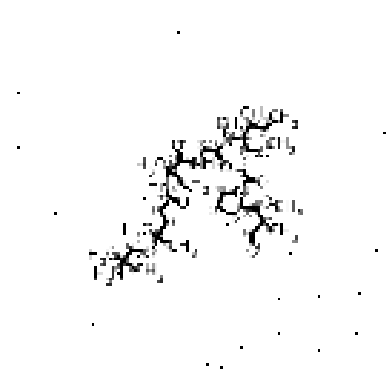 CC[C@H](C)[C@@H]([C@@H](CC(=O)N1CCC[C@H]1[C@H](OC)[C@@H](C)C=O)OC)N(C)C(=O)CNC(=O)C(C)(C)NC(=O)CCC(C)(C)OCC(C)(C)N